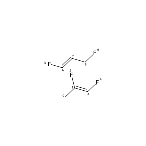 CC(F)=CF.FC=CCF